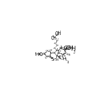 CCCC(CCC=CC(=O)O)C1c2ccc(O)cc2SCC1(C)c1ccc(O)cc1